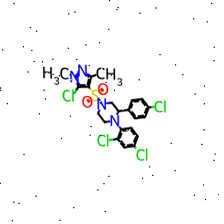 Cc1nn(C)c(Cl)c1S(=O)(=O)N1CCN(c2ccc(Cl)cc2Cl)C(c2ccc(Cl)cc2)C1